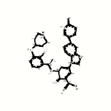 Cc1ccc(-c2ccc3c(c2)ncn3C2=CC(O[C@H](C)c3cccc(OC4CCNCC4)c3Cl)C(=S)C(C(N)=O)=C2)cn1